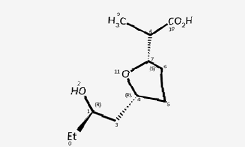 CC[C@@H](O)C[C@H]1CC[C@@H](C(C)C(=O)O)O1